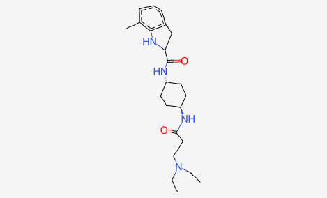 CCN(CC)CCC(=O)N[C@H]1CC[C@H](NC(=O)C2Cc3cccc(C)c3N2)CC1